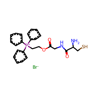 NC(CS)C(=O)NCC(=O)OCC[P+](c1ccccc1)(c1ccccc1)c1ccccc1.[Br-]